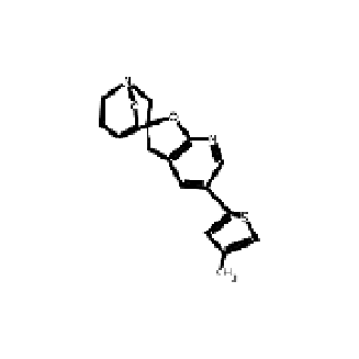 Cc1csc(-c2cnc3c(c2)C[C@@]2(CN4CCC2CC4)O3)c1